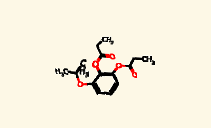 CCC(=O)Oc1cccc(OC(C)C)c1OC(=O)CC